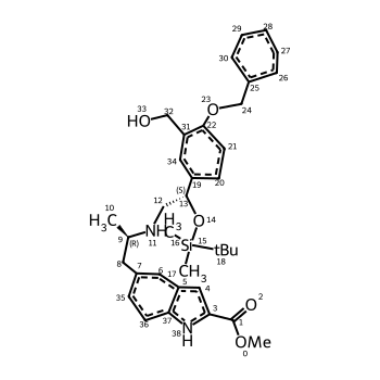 COC(=O)c1cc2cc(C[C@@H](C)NC[C@@H](O[Si](C)(C)C(C)(C)C)c3ccc(OCc4ccccc4)c(CO)c3)ccc2[nH]1